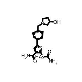 NC(=O)[AsH]c1sc(-c2ccc(CN3CCC(O)C3)cc2)cc1C(N)=O